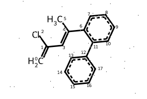 C=C(Cl)C=C(C)c1ccccc1-c1ccccc1